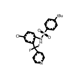 CC(C)(C)c1ccc(S(=O)(=O)Nc2ccc(Cl)cc2C(F)(F)c2ccncc2)cc1